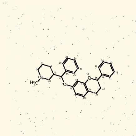 CN1CCCC(C(Oc2ccc3c(c2)OC(c2ccccc2)CC3)c2ccccc2)C1